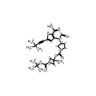 CC(C)(C)C#Cc1cc(N(C=O)[C@H]2CCN(C(=O)OC3(C)CN(C(=O)OC(C)(C)C)C3)C2)c(C(=O)O)s1